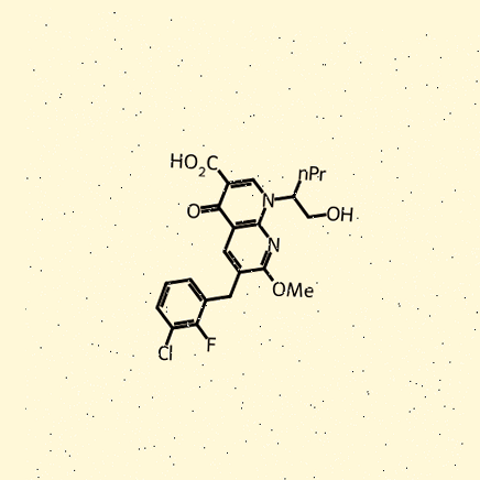 CCCC(CO)n1cc(C(=O)O)c(=O)c2cc(Cc3cccc(Cl)c3F)c(OC)nc21